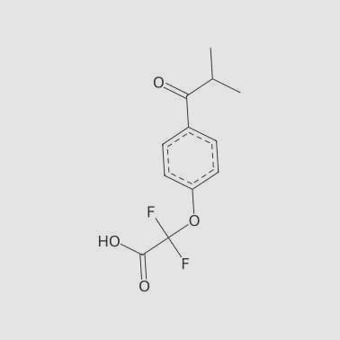 CC(C)C(=O)c1ccc(OC(F)(F)C(=O)O)cc1